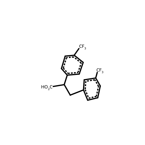 O=C(O)C(Cc1cccc(C(F)(F)F)c1)c1ccc(C(F)(F)F)cc1